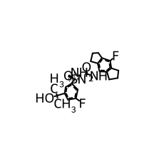 CC(C)(O)c1cc(F)cc([S@](N)(=O)=NC(=O)Nc2c3c(c(F)c4c2CCC4)CCC3)c1